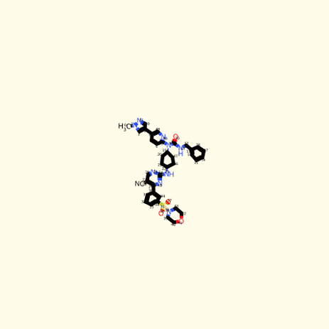 Cn1cc(-c2ccc(N(C(=O)NCc3ccccc3)[C@H]3CC[C@H](Nc4ncc(C#N)c(-c5cccc(S(=O)(=O)N6CCOCC6)c5)n4)CC3)nc2)cn1